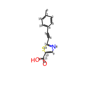 Cc1ccc(C#Cc2ncc(C(=O)O)s2)cc1